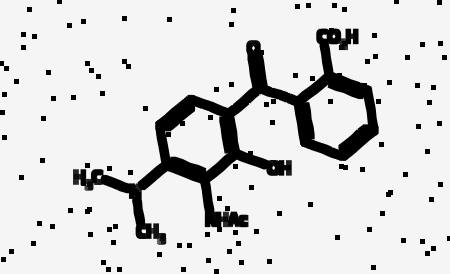 CC(=O)Nc1c(N(C)C)ccc(C(=O)c2ccccc2C(=O)O)c1O